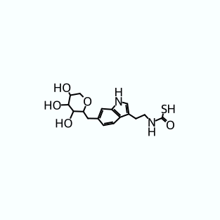 O=C(S)NCCc1c[nH]c2cc(CC3OCC(O)C(O)C3O)ccc12